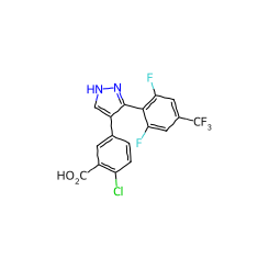 O=C(O)c1cc(-c2c[nH]nc2-c2c(F)cc(C(F)(F)F)cc2F)ccc1Cl